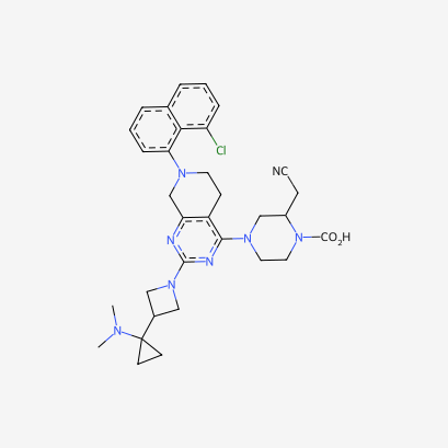 CN(C)C1(C2CN(c3nc4c(c(N5CCN(C(=O)O)C(CC#N)C5)n3)CCN(c3cccc5cccc(Cl)c35)C4)C2)CC1